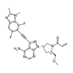 C=CC(=O)N1C[C@@H](n2nc(C#Cc3c(F)cc4nc(C)n(C)c4c3F)c3c(N)ncnc32)C[C@@H]1COC